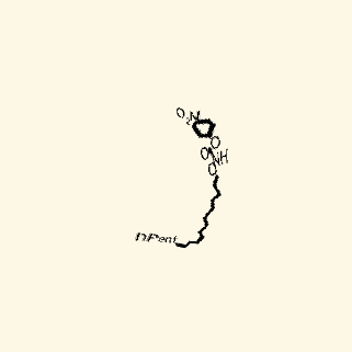 CCCCC/C=C\C/C=C\CCCCCCCCONC(=O)Oc1ccc([N+](=O)[O-])cc1